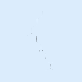 CCCCCC(C)CCCOCCOC(C)C